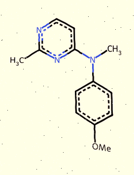 COc1ccc(N(C)c2ccnc(C)n2)cc1